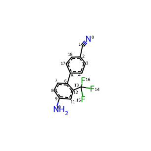 N#Cc1ccc(-c2ccc(N)cc2C(F)(F)F)cc1